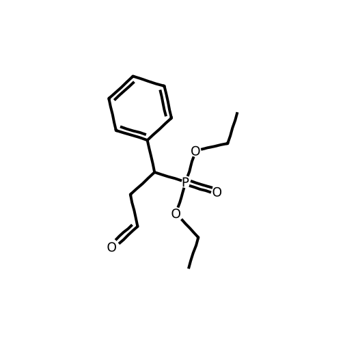 CCOP(=O)(OCC)C(CC=O)c1ccccc1